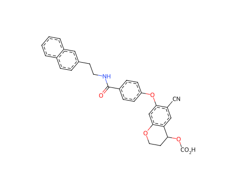 N#Cc1cc2c(cc1Oc1ccc(C(=O)NCCc3ccc4ccccc4c3)cc1)OCCC2OC(=O)O